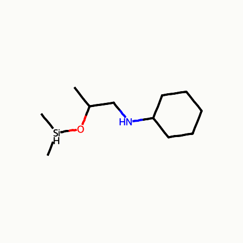 CC(CNC1CCCCC1)O[SiH](C)C